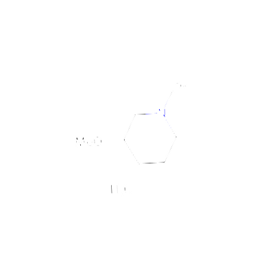 CO[C@@H]1CN(C(C)C)CC[C@@H]1C